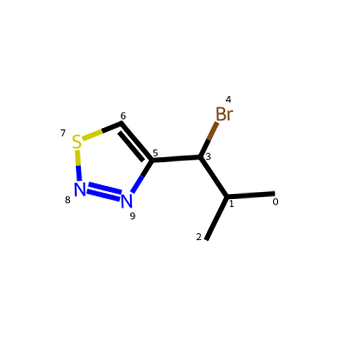 CC(C)C(Br)c1csnn1